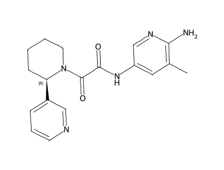 Cc1cc(NC(=O)C(=O)N2CCCC[C@@H]2c2cccnc2)cnc1N